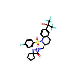 NC1(C(=O)NC[C@@H]2CCc3cc(C(O)(C(F)(F)F)C(F)(F)F)ccc3N2S(=O)(=O)c2ccc(F)cc2)CCCC1